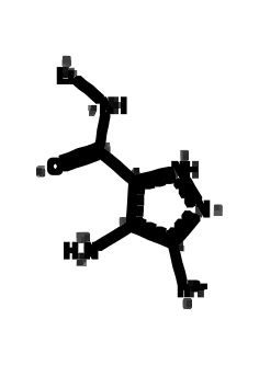 CCCc1n[nH]c(C(=O)NCC)c1N